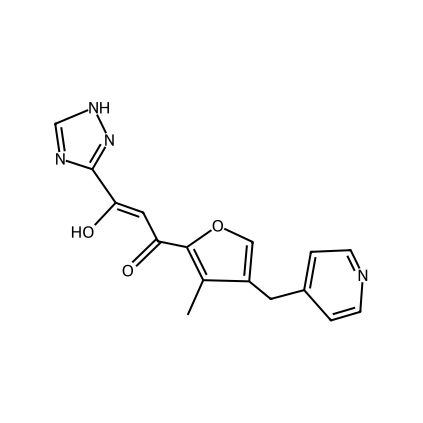 Cc1c(Cc2ccncc2)coc1C(=O)C=C(O)c1nc[nH]n1